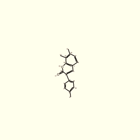 Cc1ccc(-c2cc3ccc(C)c(C)c3oc2=O)cc1